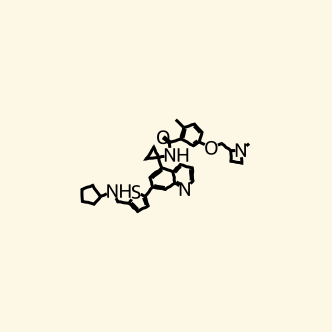 Cc1ccc(OCC2CCN2C)cc1C(=O)NC1(c2cc(-c3ccc(CNC4CCCC4)s3)cc3ncccc23)CC1